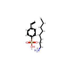 C=Cc1ccc(S(=O)(=O)O)cc1.CCCCCCCCN